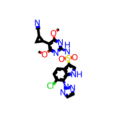 COc1nc(NS(=O)(=O)c2c[nH]c3c(-n4nccn4)c(Cl)ccc23)nc(OC)c1C1CC1C#N